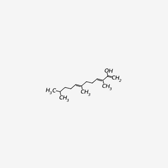 C=C(O)/C(C)=C/CC/C(C)=C/CCC(C)C